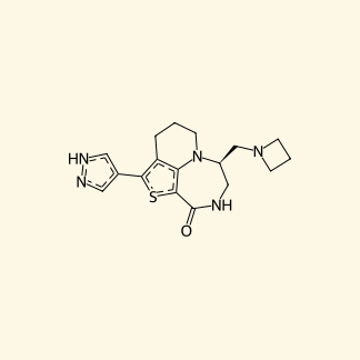 O=C1NC[C@H](CN2CCC2)N2CCCc3c(-c4cn[nH]c4)sc1c32